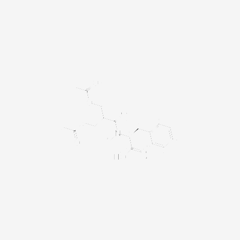 CC(=O)OCC(CSC(C)=O)C(=O)N(C)[C@@H](Cc1ccccc1)C(=O)O